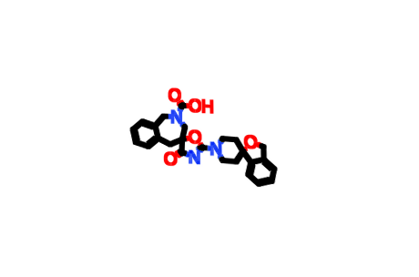 O=C(O)N1Cc2ccccc2CC2(C1)OC(N1CCC3(CC1)OCc1ccccc13)=NC2=O